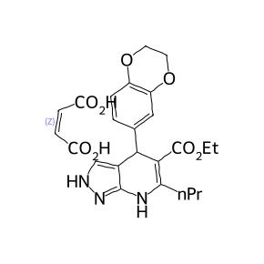 CCCC1=C(C(=O)OCC)C(c2ccc3c(c2)OCCO3)c2c[nH]nc2N1.O=C(O)/C=C\C(=O)O